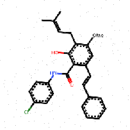 COc1cc(/C=C/c2ccccc2)c(C(=O)Nc2ccc(Cl)cc2)c(O)c1CC=C(C)C